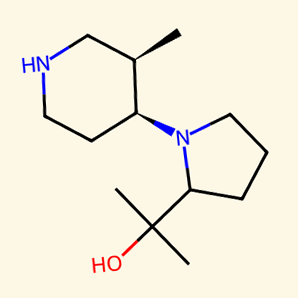 C[C@@H]1CNCC[C@@H]1N1CCCC1C(C)(C)O